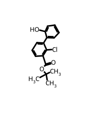 CC(C)(C)OC(=O)c1cccc(-c2ccccc2O)c1Cl